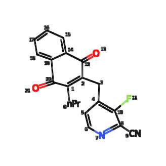 CCCC1=C(Cc2ccnc(C#N)c2F)C(=O)c2ccccc2C1=O